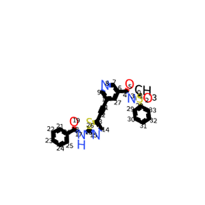 CS(=O)(=NC(=O)c1cncc(C#Cc2cnc(NC(=O)c3ccccc3)s2)c1)c1ccccc1